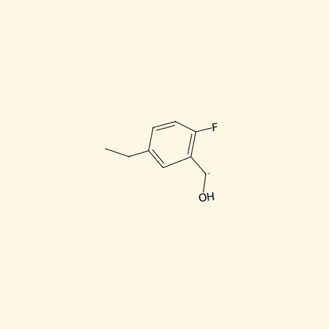 CCc1ccc(F)c([CH]O)c1